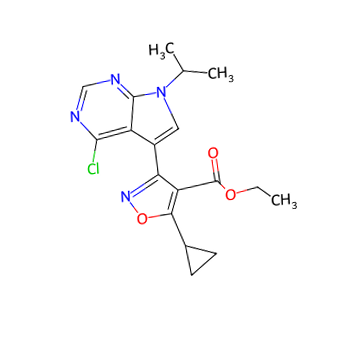 CCOC(=O)c1c(-c2cn(C(C)C)c3ncnc(Cl)c23)noc1C1CC1